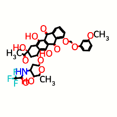 COc1cccc(OCOc2cccc3c2C(=O)c2c(O)c4c(c(O)c2C3=O)C[C@@](O)(C(C)=O)C[C@@H]4OC2CC(NC(=O)C(F)(F)F)C(O)C(C)O2)c1